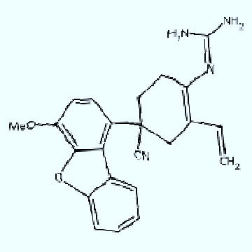 C=CC1=C(N=C(N)N)CCC(C#N)(c2ccc(OC)c3oc4ccccc4c23)C1